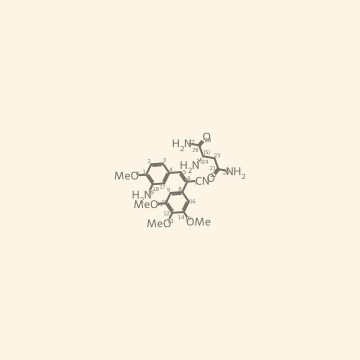 COc1ccc(C=C(C#N)c2cc(OC)c(OC)c(OC)c2)cc1N.NC(=O)C[C@H](N)C(N)=O